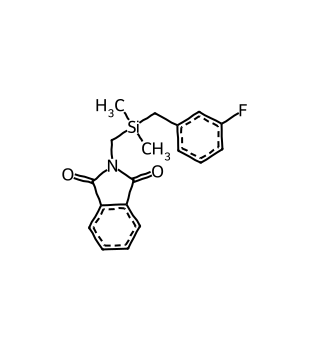 C[Si](C)(Cc1cccc(F)c1)CN1C(=O)c2ccccc2C1=O